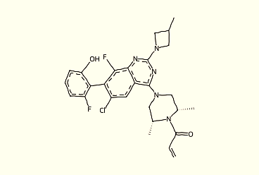 C=CC(=O)N1[C@H](C)CN(c2nc(N3CC(C)C3)nc3c(F)c(-c4c(O)cccc4F)c(Cl)cc23)C[C@@H]1C